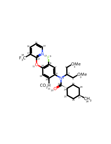 COCC(COC)N(c1cc(F)c(Oc2ncccc2C(F)(F)F)cc1C(=O)O)C(=O)[C@H]1CC[C@H](C)CC1